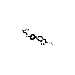 COCCOc1ccc(N2CCN(CC(C)N)CC2)cc1